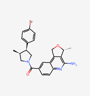 C[C@@H]1CN(C(=O)c2ccc3nc(N)c4c(c3c2)CO[C@@H]4C)C[C@@H]1c1ccc(Br)cc1